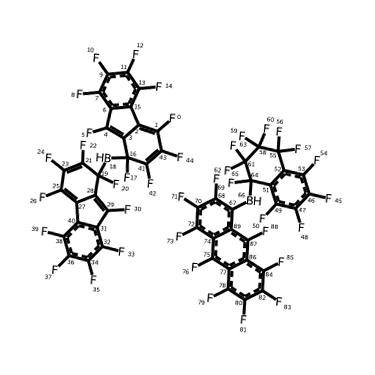 FC1=C2C(=C(F)c3c(F)c(F)c(F)c(F)c32)C(F)(BC2(F)C(F)=C(F)C(F)=C3C2=C(F)c2c(F)c(F)c(F)c(F)c23)C(F)=C1F.Fc1c(F)c(F)c2c(c1F)C(F)(F)C(F)(F)C(F)(F)C2(F)Bc1c(F)c(F)c(F)c2c(F)c3c(F)c(F)c(F)c(F)c3c(F)c12